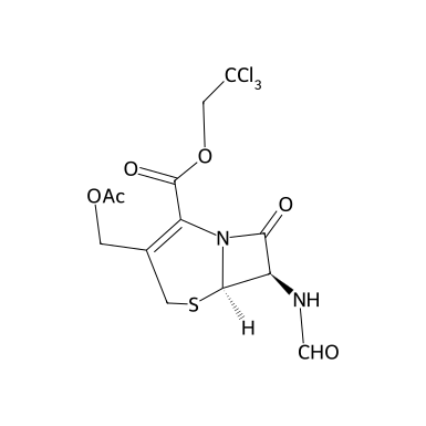 CC(=O)OCC1=C(C(=O)OCC(Cl)(Cl)Cl)N2C(=O)[C@@H](NC=O)[C@H]2SC1